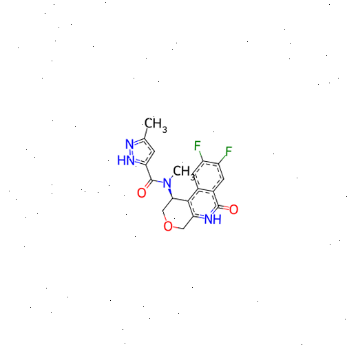 Cc1cc(C(=O)N(C)[C@@H]2COCc3[nH]c(=O)c4cc(F)c(F)cc4c32)[nH]n1